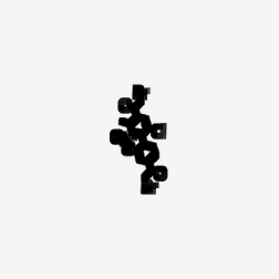 Cc1c(C(=O)CBr)cc(Cl)c(-c2ccc(C(=O)CBr)cc2)c1[N+](=O)[O-]